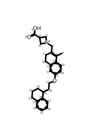 CC1=C(CN2CC(C(=O)O)C2)CCc2cc(OCCC3CCCc4ccccc43)ccc21